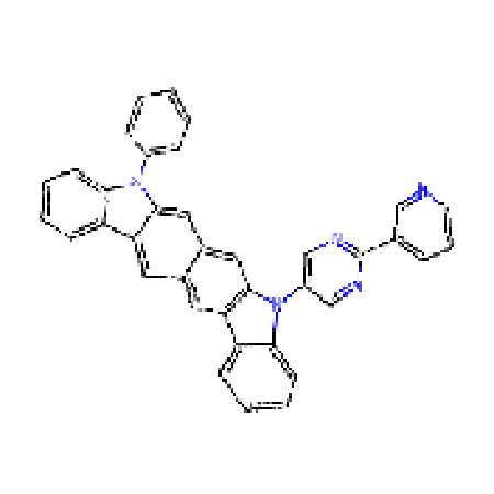 c1ccc(-n2c3ccccc3c3cc4cc5c6ccccc6n(-c6cnc(-c7cccnc7)nc6)c5cc4cc32)cc1